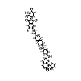 C[C@@]1(O)CCC[C@H]1n1c(=O)ccc2cnc(Nc3ccc(S(=O)(=O)N4CCC5(CCN(C6CN(c7cc8c(cc7F)C(=O)N(C7CCC(=O)NC7=O)C8=O)C6)CC5)CC4)cc3)nc21